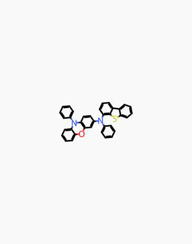 c1ccc(N2c3ccccc3Oc3cc(N(c4ccccc4)c4cccc5c4sc4ccccc45)ccc32)cc1